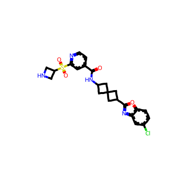 O=C(NC1CC2(C1)CC(c1nc3cc(Cl)ccc3o1)C2)c1ccnc(S(=O)(=O)C2CNC2)c1